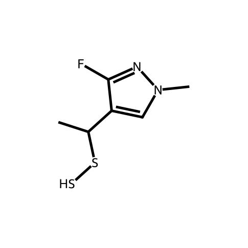 CC(SS)c1cn(C)nc1F